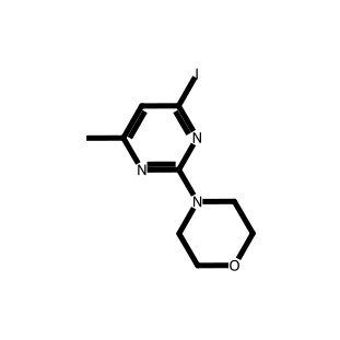 Cc1cc(I)nc(N2CCOCC2)n1